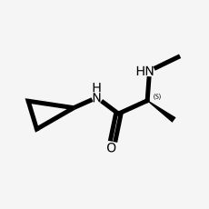 CN[C@@H](C)C(=O)NC1CC1